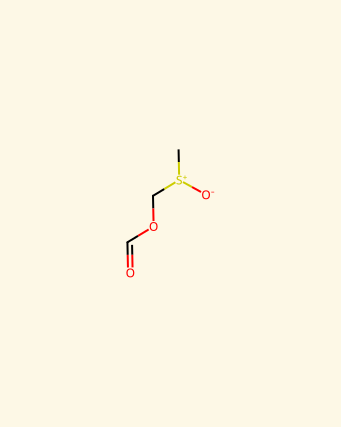 C[S+]([O-])COC=O